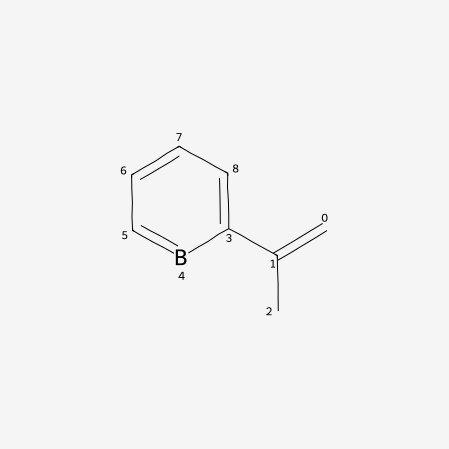 C=C(C)c1bcccc1